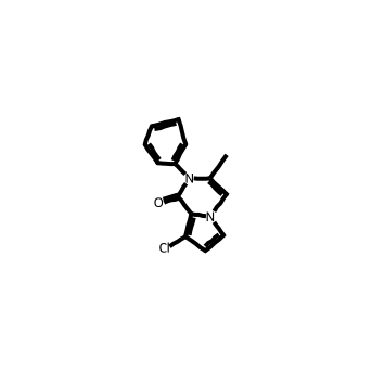 Cc1cn2ccc(Cl)c2c(=O)n1-c1ccccc1